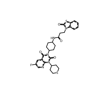 O=C(CCn1c(=O)sc2ccccc21)NC1CCC(n2c(=O)c3cc(F)cnc3n(C3CCSCC3)c2=O)CC1